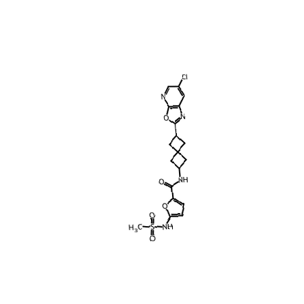 CS(=O)(=O)Nc1ccc(C(=O)NC2CC3(C2)CC(c2nc4cc(Cl)cnc4o2)C3)o1